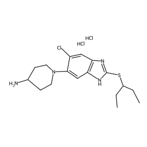 CCC(CC)Sc1nc2cc(Cl)c(N3CCC(N)CC3)cc2[nH]1.Cl.Cl